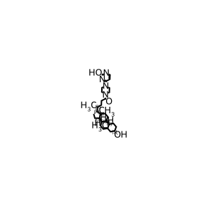 C[C@H](CCC(=O)N1CCN(c2ccnc(O)n2)CC1)[C@H]1CC[C@H]2[C@@H]3CC=C4C[C@@H](O)CC[C@]4(C)[C@H]3CC[C@]12C